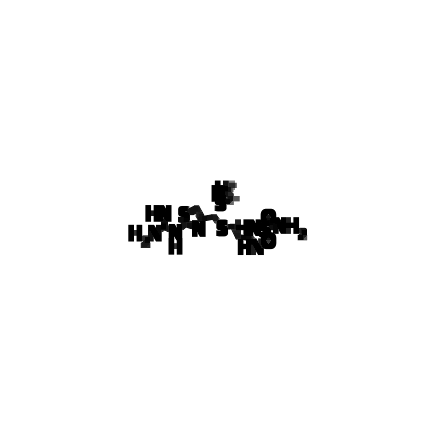 N=C(N)Nc1nc(CSCCC(=N)NS(N)(=O)=O)cs1.[H+].[H+].[S-2]